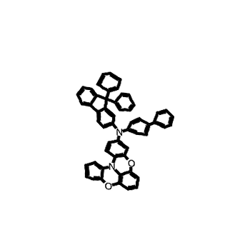 c1ccc(-c2ccc(N(c3ccc4c(c3)Oc3cccc5c3N4c3ccccc3O5)c3ccc4c(c3)C(c3ccccc3)(c3ccccc3)c3ccccc3-4)cc2)cc1